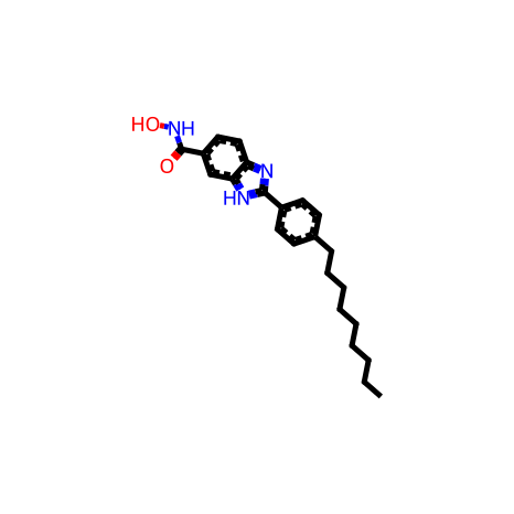 CCCCCCCCCc1ccc(-c2nc3ccc(C(=O)NO)cc3[nH]2)cc1